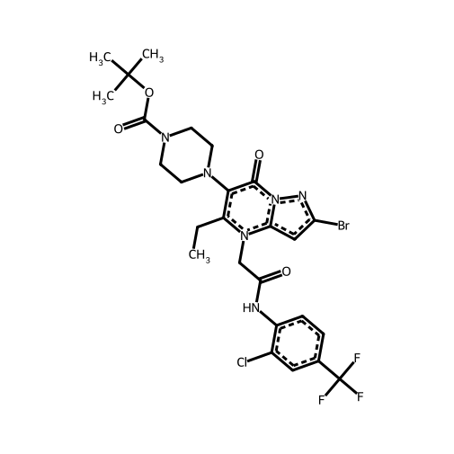 CCc1c(N2CCN(C(=O)OC(C)(C)C)CC2)c(=O)n2nc(Br)cc2n1CC(=O)Nc1ccc(C(F)(F)F)cc1Cl